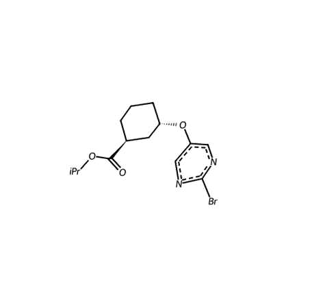 CC(C)OC(=O)[C@H]1CCC[C@H](Oc2cnc(Br)nc2)C1